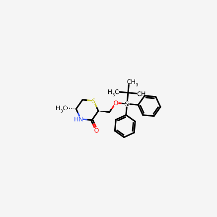 C[C@@H]1CS[C@@H](CO[Si](c2ccccc2)(c2ccccc2)C(C)(C)C)C(=O)N1